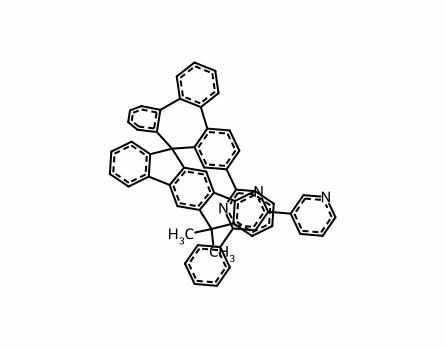 CC1(C)c2ccccc2-c2cc3c(cc21)-c1ccccc1C31c2ccccc2-c2ccccc2-c2ccc(-c3nc(-c4ccccc4)cc(-c4cccnc4)n3)cc21